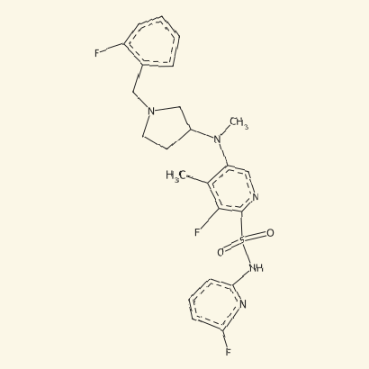 Cc1c(N(C)C2CCN(Cc3ccccc3F)C2)cnc(S(=O)(=O)Nc2cccc(F)n2)c1F